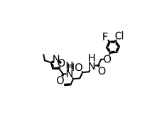 C=CC(CC(O)CNC(=O)COc1ccc(Cl)c(F)c1)NC(=O)c1cc(CC)no1